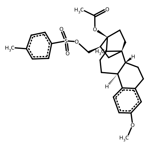 COc1ccc2c(c1)CC[C@@H]1[C@@H]2CC[C@@]2(C)[C@]13CC[C@@]2(OC(C)=O)[C@H](COS(=O)(=O)c1ccc(C)cc1)C3